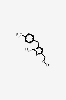 CCOCc1cc(Cc2ccc(C(F)(F)F)cc2)n(C)n1